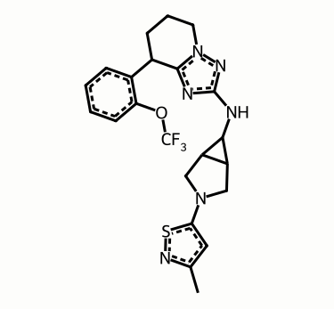 Cc1cc(N2CC3C(C2)C3Nc2nc3n(n2)CCCC3c2ccccc2OC(F)(F)F)sn1